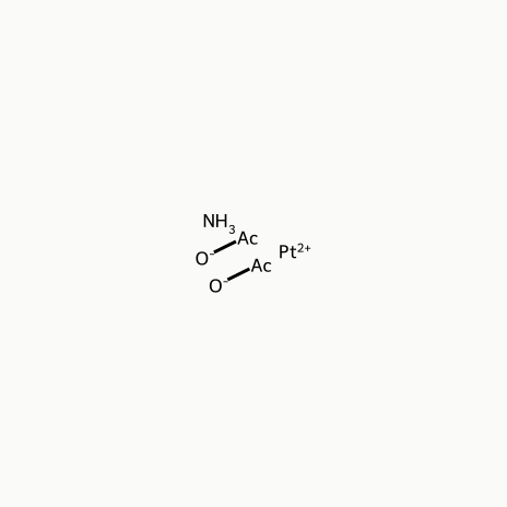 CC(=O)[O-].CC(=O)[O-].N.[Pt+2]